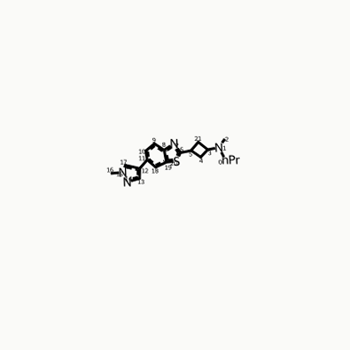 CCCN(C)C1CC(c2nc3ccc(-c4cnn(C)c4)cc3s2)C1